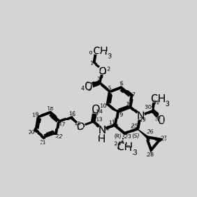 CCOC(=O)c1ccc2c(c1)C(NC(=O)OCc1ccccc1)[C@@H](C)[C@H](C1CC1)N2C(C)=O